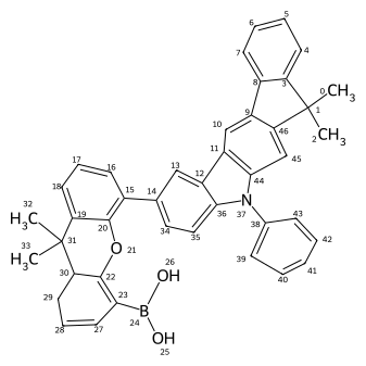 CC1(C)c2ccccc2-c2cc3c4cc(-c5cccc6c5OC5=C(B(O)O)C=CCC5C6(C)C)ccc4n(-c4ccccc4)c3cc21